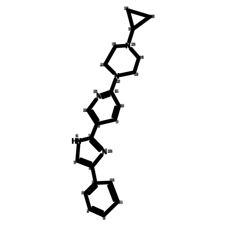 c1ccc(-c2c[nH]c(-c3ccc(N4CCN(C5CC5)CC4)nc3)n2)cc1